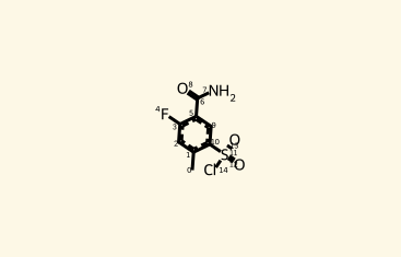 Cc1cc(F)c(C(N)=O)cc1S(=O)(=O)Cl